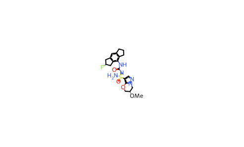 CO[C@@H]1COc2c([S@@](N)(=O)=NC(=O)Nc3c4c(cc5c3C[C@@H](F)C5)CCC4)cnn2C1